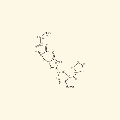 COc1ccc(C2CN(Cc3ccc(NC=O)cc3)C(=O)N2)cc1OC1CCCC1